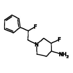 NC1CCN(CC(F)c2ccccc2)CC1F